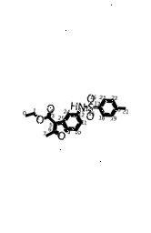 CCOC(=O)c1c(C)oc2ccc(NS(=O)(=O)c3ccc(C)cc3)cc12